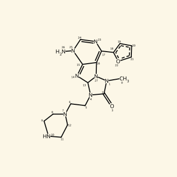 CN1C(=O)N(CCN2CCNCC2)C2N=C3C(=C(c4ccco4)N=CN3N)N21